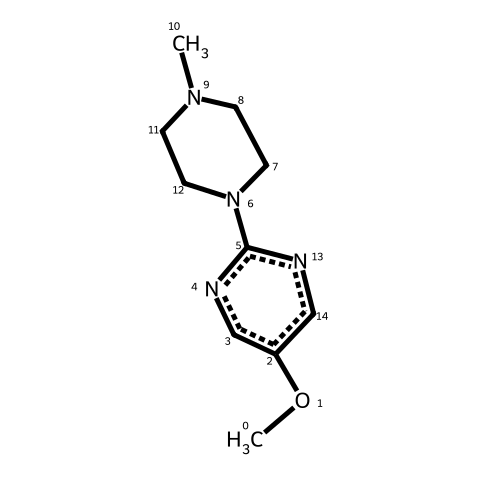 COc1cnc(N2CCN(C)CC2)nc1